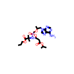 CCCOC(=O)C(C)(C)NP(=O)(COC(C)Cn1cnc2c(N)ncnc21)OCCC(=O)OC(C)C